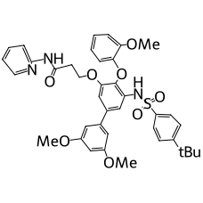 COc1cc(OC)cc(-c2cc(NS(=O)(=O)c3ccc(C(C)(C)C)cc3)c(Oc3ccccc3OC)c(OCCC(=O)Nc3ccccn3)c2)c1